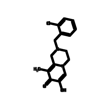 Cc1c2n(cc(O)c1=O)CCN(Cc1ccccc1Cl)C2